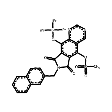 CC(C)[Si](Oc1c2c(c(OS(=O)(=O)C(F)(F)F)c3cncnc13)C(=O)N(Cc1ccc3ccccc3c1)C2=O)(C(C)C)C(C)C